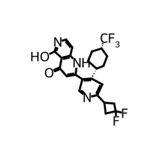 O=c1cc(-c2cnc(C3CC(F)(F)C3)cc2[C@H]2CC[C@@H](C(F)(F)F)CC2)[nH]c2ccnc(O)c12